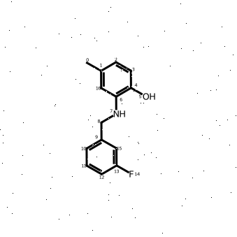 Cc1ccc(O)c(NCc2cccc(F)c2)c1